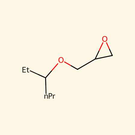 [CH2]CC(CCC)OCC1CO1